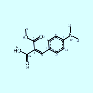 COC(=O)C(=Cc1ccc(N(C)C)cc1)C(=O)O